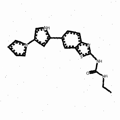 CCNC(=O)Nc1nc2ccc(-c3cc(-n4cccc4)c[nH]3)cc2s1